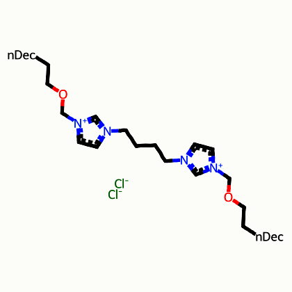 CCCCCCCCCCCCOC[n+]1ccn(CCCCn2cc[n+](COCCCCCCCCCCCC)c2)c1.[Cl-].[Cl-]